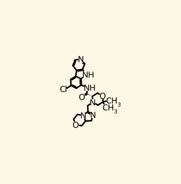 CC1(C)CN(CC2=NCC3COCCN23)[C@H](C(=O)Nc2cc(Cl)cc3c2[nH]c2cnccc23)CO1